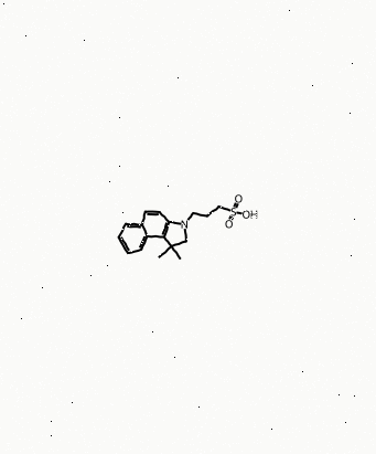 CC1(C)CN(CCCS(=O)(=O)O)c2ccc3ccccc3c21